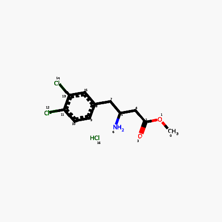 COC(=O)CC(N)Cc1ccc(Cl)c(Cl)c1.Cl